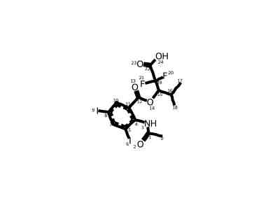 CC(=O)Nc1c(I)cc(I)cc1C(=O)OC(C(C)C)C(F)(F)C(=O)O